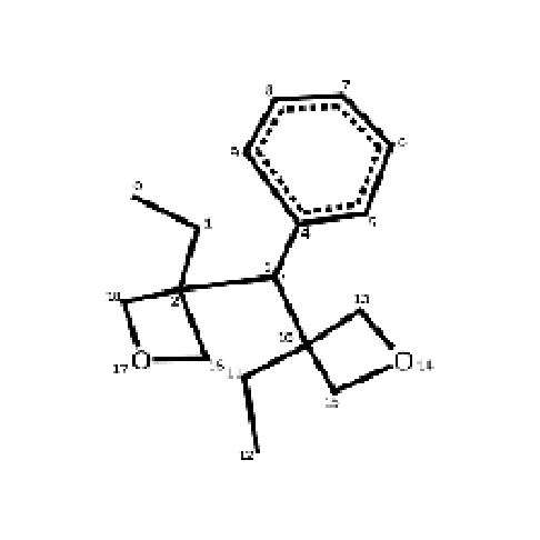 CCC1([C](c2ccccc2)C2(CC)COC2)COC1